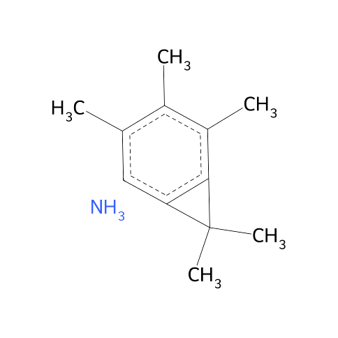 Cc1cc2c(c(C)c1C)C2(C)C.N